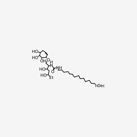 CCCCCCCCCCCCCCCCCCCCCCCCNC(=O)NC(COC1C=CCC(O)C(O)C1O)C(O)CC(O)CC